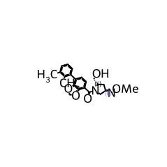 CO/N=C1\C[C@@H](CO)N(C(=O)c2ccc(-c3cccc(C)c3C)c3c2OCO3)C1